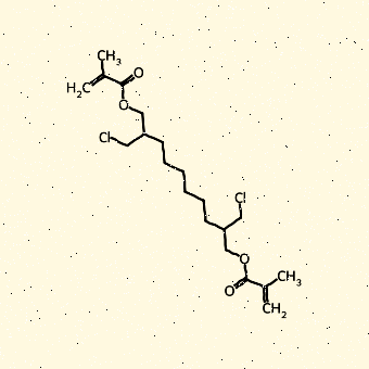 C=C(C)C(=O)OCC(CCl)CCCCCCC(CCl)COC(=O)C(=C)C